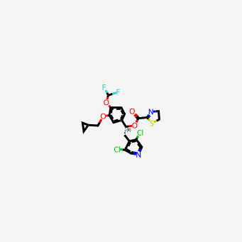 O=C(O[C@H](Cc1c(Cl)cncc1Cl)c1ccc(OC(F)F)c(OCC2CC2)c1)C1=NCCS1